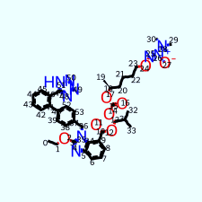 CCOc1nc2cccc(C(=O)OC(OC(=O)O[C@@H](C)CCCCO/N=[N+](\[O-])N(C)C)C(C)C)c2n1Cc1ccc(-c2ccccc2-c2nnn[nH]2)cc1